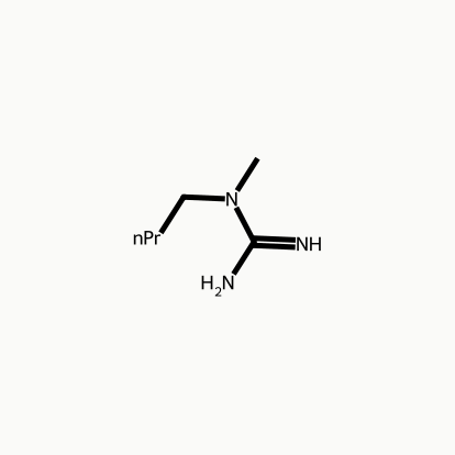 CCCCN(C)C(=N)N